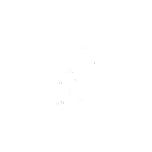 CC(C)C1CCc2nc(C(N)=O)nn21